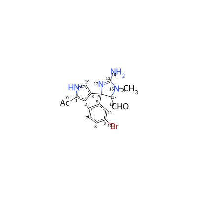 CC(=O)c1cc(C2(c3cccc(Br)c3)N=C(N)N(C)C2C=O)c[nH]1